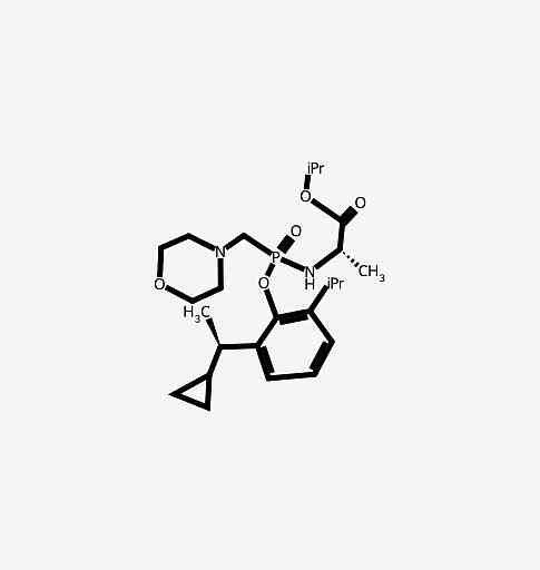 CC(C)OC(=O)[C@H](C)NP(=O)(CN1CCOCC1)Oc1c(C(C)C)cccc1[C@H](C)C1CC1